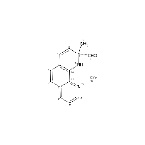 NC1(C=O)C=Cc2ccc3cccnc3c2N1.[Co]